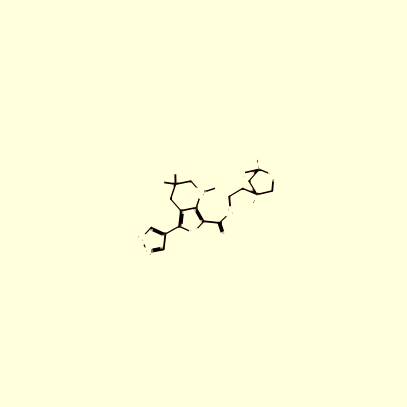 O=C1N[C@@H]([C@@H]2C[C@H]3C[C@@H]2CO3)CN2CC(F)(F)Cc3c(-c4cn[nH]c4)sc1c32